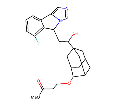 COC(=O)CCOC1C2CC3CC1CC(C(O)CC1c4c(F)cccc4-c4cncn41)(C3)C2